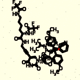 COc1ccc(C(C[C@@]23COC([C@H](n4cc(C#CCNC(=O)C(CCCCNC(=O)C(F)(F)F)NC(=O)C(F)(F)F)c(=O)[nH]c4=O)O2)[C@H]3OP(OCCC#N)N(C(C)C)C(C)C)(c2ccccc2)c2ccc(OC)cc2)cc1